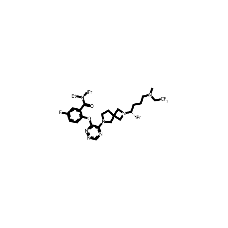 CCN(C(=O)c1cc(F)ccc1Oc1nncnc1N1CCC2(C1)CN([C@H](CCCN(C)CC(F)(F)F)C(C)C)C2)C(C)C